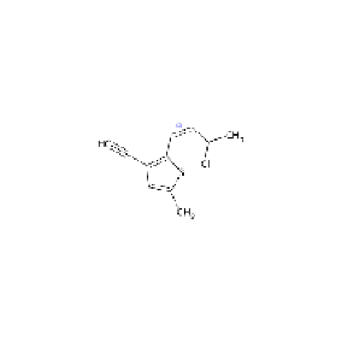 C#Cc1cc(C)sc1/C=C\C(C)Cl